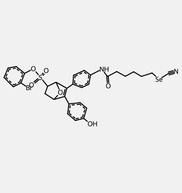 N#C[Se]CCCCCC(=O)Nc1ccc(C2=C(c3ccc(O)cc3)C3CC(S(=O)(=O)Oc4ccccc4Br)C2O3)cc1